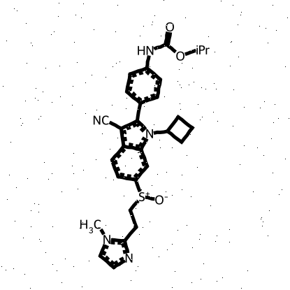 CC(C)OC(=O)Nc1ccc(-c2c(C#N)c3ccc([S+]([O-])CCc4nccn4C)cc3n2C2CCC2)cc1